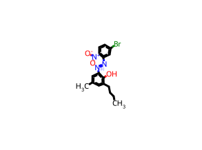 CCCCc1cc(C)cc(/N=N/c2cc(Br)ccc2[N+](=O)[O-])c1O